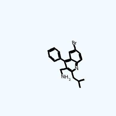 CC(C)Cc1nc2ccc(Br)cc2c(-c2ccccc2)c1CN